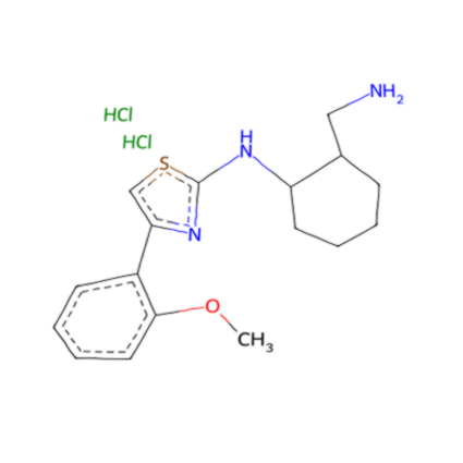 COc1ccccc1-c1csc(NC2CCCCC2CN)n1.Cl.Cl